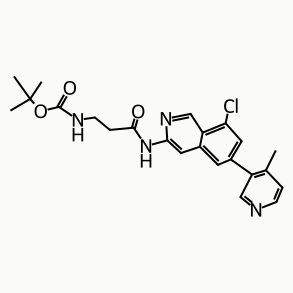 Cc1ccncc1-c1cc(Cl)c2cnc(NC(=O)CCNC(=O)OC(C)(C)C)cc2c1